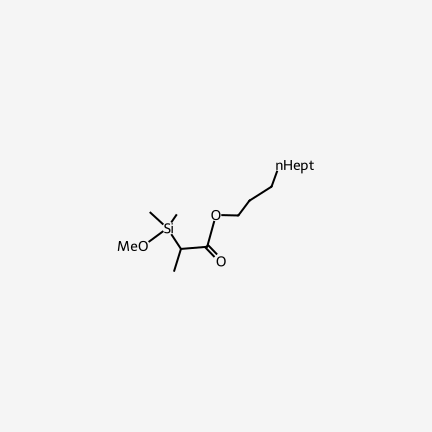 CCCCCCCCCCOC(=O)C(C)[Si](C)(C)OC